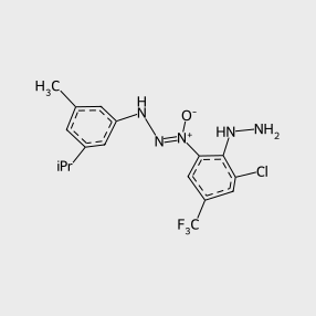 Cc1cc(NN=[N+]([O-])c2cc(C(F)(F)F)cc(Cl)c2NN)cc(C(C)C)c1